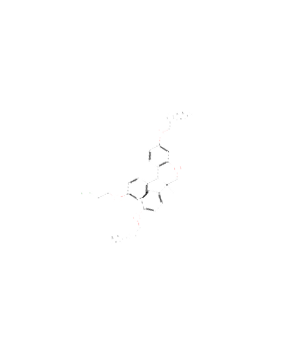 COCOc1ccc(C2(C)COc3cc(OCOC)ccc3C2c2ccc(OCCCl)cc2)cc1